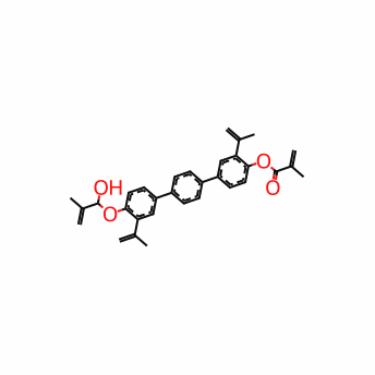 C=C(C)C(=O)Oc1ccc(-c2ccc(-c3ccc(OC(O)C(=C)C)c(C(=C)C)c3)cc2)cc1C(=C)C